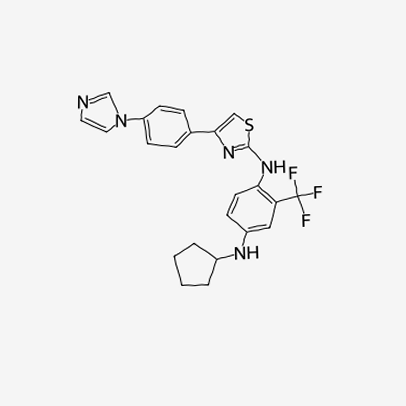 FC(F)(F)c1cc(NC2CCCC2)ccc1Nc1nc(-c2ccc(-n3ccnc3)cc2)cs1